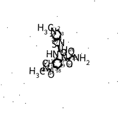 CN1CCc2nc(C(=O)N[C@@H]3C[C@@H](C(=O)N(C)C)CC[C@H]3NC(=O)C(N)=O)sc2C1